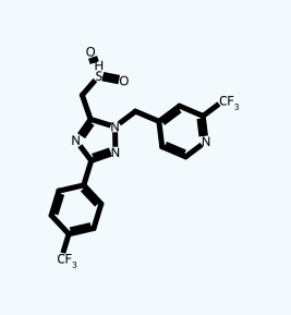 O=[SH](=O)Cc1nc(-c2ccc(C(F)(F)F)cc2)nn1Cc1ccnc(C(F)(F)F)c1